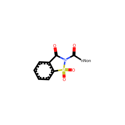 CCCCCCCCCC(=O)N1C(=O)c2ccccc2S1(=O)=O